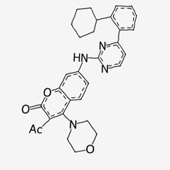 CC(=O)c1c(N2CCOCC2)c2ccc(Nc3nccc(-c4ccccc4C4CCCCC4)n3)cc2oc1=O